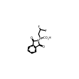 O=C(O)N(CC(F)F)N1C(=O)c2ccccc2C1=O